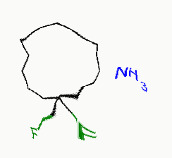 FC1(F)CCCCC1.N